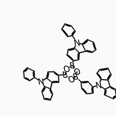 c1ccc(-n2c3ccccc3c3cc(B4OB(c5cccc(-n6c7ccccc7c7ccccc76)c5)OB(c5ccc6c(c5)c5ccccc5n6-c5ccccc5)O4)ccc32)cc1